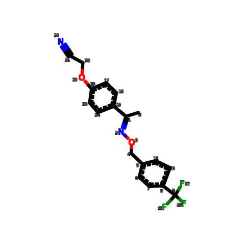 C/C(=N\OCc1ccc(C(F)(F)F)cc1)c1ccc(OCC#N)cc1